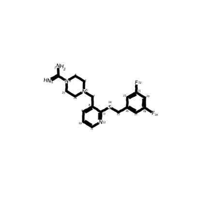 N=C(N)N1CCN(Cc2cccnc2SCc2cc(F)cc(F)c2)CC1